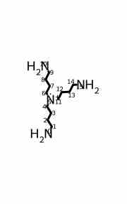 NCCCC[N+](CCCCN)CCCCN